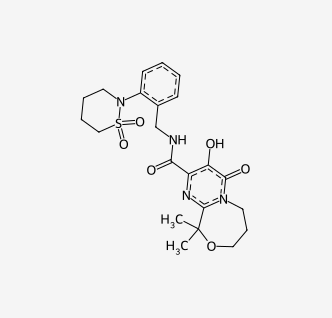 CC1(C)OCCCn2c1nc(C(=O)NCc1ccccc1N1CCCCS1(=O)=O)c(O)c2=O